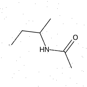 [CH2]CC(C)NC(C)=O